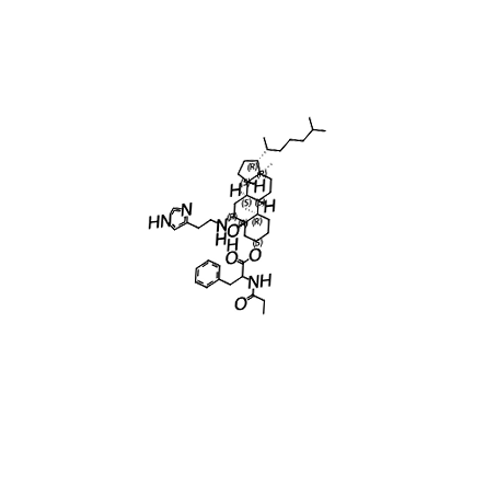 CCC(=O)NC(Cc1ccccc1)C(=O)O[C@H]1CC[C@]2(C)[C@H]3CC[C@]4(C)[C@@H](C(C)CCCC(C)C)CC[C@H]4[C@@H]3C[C@@H](NCCc3c[nH]cn3)[C@@]2(O)C1